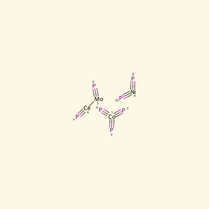 [P]#[Co](#[P])#[P].[P]#[Mo][Ce]#[P].[P]#[Ni]#[P]